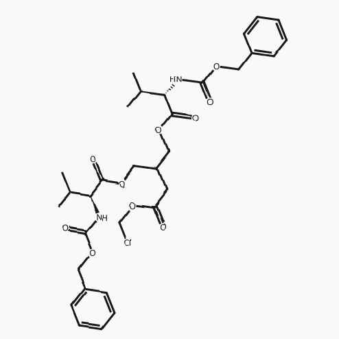 CC(C)[C@H](NC(=O)OCc1ccccc1)C(=O)OCC(COC(=O)[C@@H](NC(=O)OCc1ccccc1)C(C)C)CC(=O)OCCl